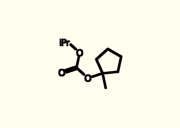 [CH2]C(C)OC(=O)OC1(C)CCCC1